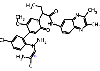 CCC(C(=O)Nc1ccc2nc(C)c(C)nc2c1)n1cc(OC)c(-c2cc(Cl)ccc2N(N)/C=C(\N)Cl)cc1=O